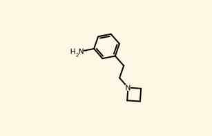 Nc1cccc(CCN2CCC2)c1